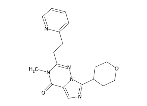 Cn1c(CCc2ccccn2)nn2c(C3CCOCC3)ncc2c1=O